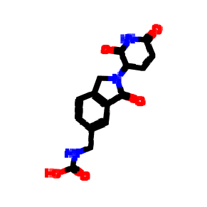 O=C(O)NCc1ccc2c(c1)C(=O)N(C1CCC(=O)NC1=O)C2